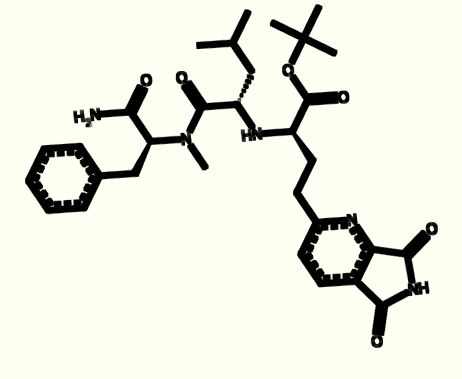 CC(C)C[C@H](N[C@H](CCc1ccc2c(n1)C(=O)NC2=O)C(=O)OC(C)(C)C)C(=O)N(C)[C@@H](Cc1ccccc1)C(N)=O